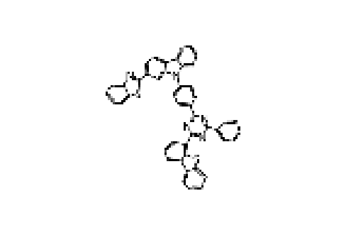 c1ccc(-c2nc(-c3ccc(-n4c5ccccc5c5ccc(-c6nc7ccccc7s6)cc54)cc3)nc(-c3cccc4c3sc3ccccc34)n2)cc1